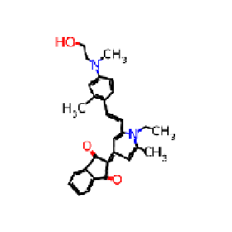 CCN1C(C)=CC(=C2C(=O)c3ccccc3C2=O)C=C1C=Cc1ccc(N(C)CCO)cc1C